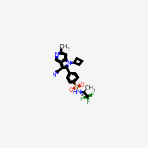 Cc1cc2c(cn1)c(C#N)c(-c1ccc(S(=O)(=O)N[C@@H](C)C(F)(F)F)cc1)n2C1CCC1